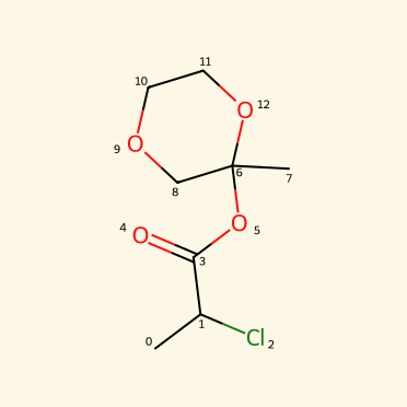 CC(Cl)C(=O)OC1(C)COCCO1